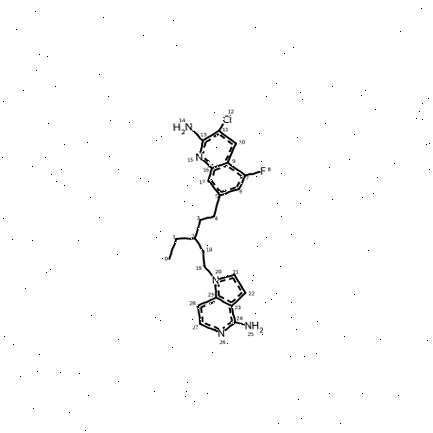 CCC(CCc1cc(F)c2cc(Cl)c(N)nc2c1)CCn1ccc2c(N)nccc21